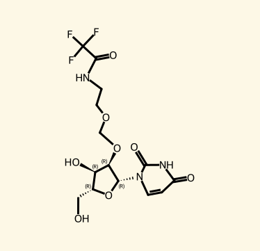 O=C(NCCOCO[C@@H]1[C@H](O)[C@@H](CO)O[C@H]1n1ccc(=O)[nH]c1=O)C(F)(F)F